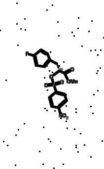 COC(=O)[C@@H](Cc1ccc(F)cc1)OS(=O)(=O)c1ccc([N+](=O)[O-])cc1